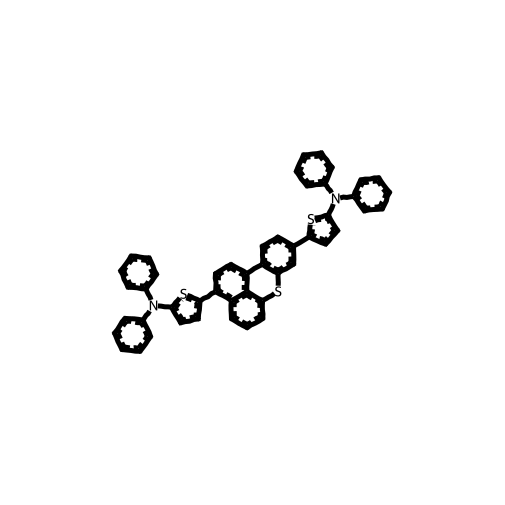 c1ccc(N(c2ccccc2)c2ccc(-c3ccc4c(c3)Sc3cccc5c(-c6ccc(N(c7ccccc7)c7ccccc7)s6)ccc-4c35)s2)cc1